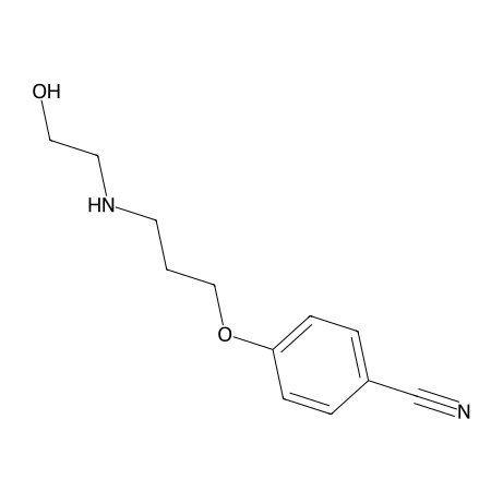 N#Cc1ccc(OCCCNCCO)cc1